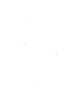 CCOC(=O)c1cc(Cl)cc2[nH]c(C(=O)c3ccccc3Cl)c(NC(C)=O)c12